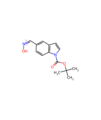 CC(C)(C)OC(=O)n1ccc2cc(/C=N\O)ccc21